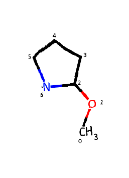 COC1CCC[N]1